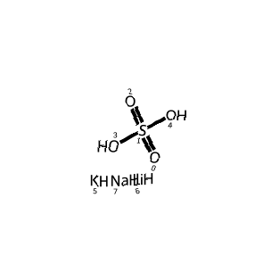 O=S(=O)(O)O.[KH].[LiH].[NaH]